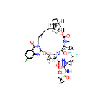 C[C@@H]1[C@@H]2CN(C(=O)[C@H](C(C)(C)C)NC(=O)O[C@@H]3C[C@@H]4C=C[C@@H]4[C@H]3CC/C=C/Cn3c(nc4cc(Cl)ccc4c3=O)O2)[C@@H]1C(=O)N[C@]1(C(=O)NS(=O)(=O)C2(C)CC2)C[C@H]1C(F)F